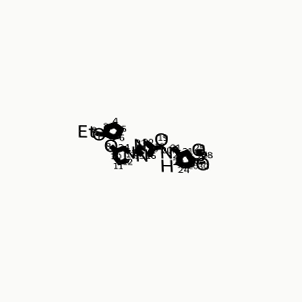 CCOc1ccccc1OC1CCCN(c2ncc(C(=O)NCc3cccc(S(C)(=O)=O)c3)cn2)C1